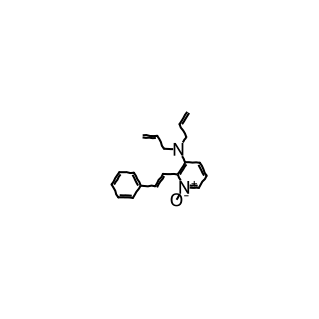 C=CCN(CC=C)c1ccc[n+]([O-])c1C=Cc1ccccc1